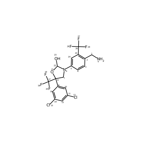 NCc1ccc(N2CC(c3cc(Cl)cc(Cl)c3)(C(F)(F)F)OC2O)cc1C(F)(F)F